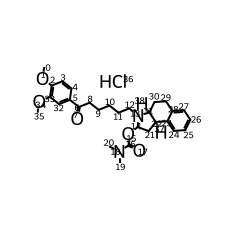 COc1ccc(C(=O)CCCCCN2C(OC(=O)N(C)C)C[C@H]3c4ccccc4CC[C@H]32)cc1OC.Cl